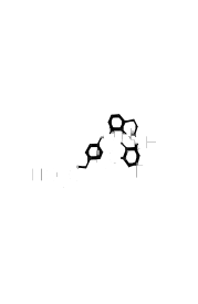 Cc1cc(F)cc(C)c1CN1CCCc2cccc(OCc3ccc(CCC(=O)O)cc3)c21